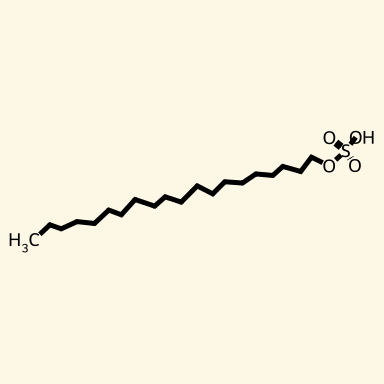 CCCCCCCCCCCCCCCCCCCCOS(=O)(=O)O